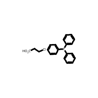 O=C(O)CCCl.c1ccc(P(c2ccccc2)c2ccccc2)cc1